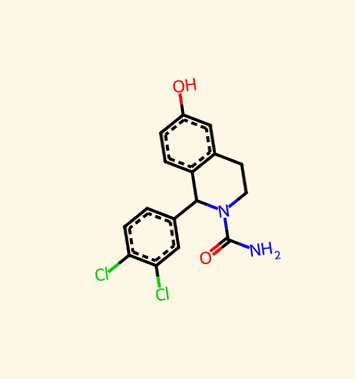 NC(=O)N1CCc2cc(O)ccc2C1c1ccc(Cl)c(Cl)c1